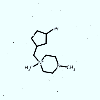 CC(C)C1CCC(C[N+]2(C)CCN(C)CC2)C1